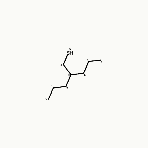 CCCC(CS)CCC